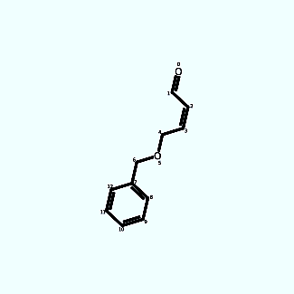 O=C/C=C\COCc1ccccc1